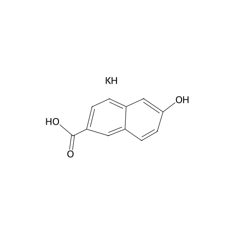 O=C(O)c1ccc2cc(O)ccc2c1.[KH]